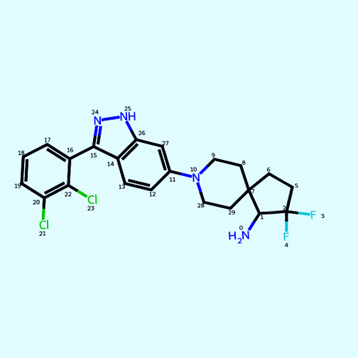 NC1C(F)(F)CCC12CCN(c1ccc3c(-c4cccc(Cl)c4Cl)n[nH]c3c1)CC2